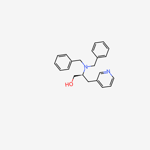 OC[C@H](Cc1cccnc1)N(Cc1ccccc1)Cc1ccccc1